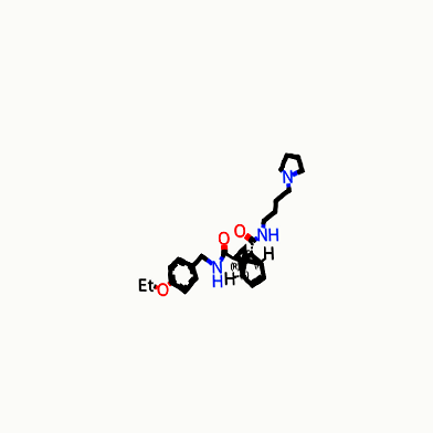 CCOc1ccc(CNC(=O)[C@H]2[C@H](C(=O)NCCCCN3CCCC3)[C@H]3C=C[C@@H]2C32CC2)cc1